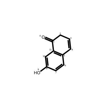 O=C1CC=Cc2ccc(O)cc21